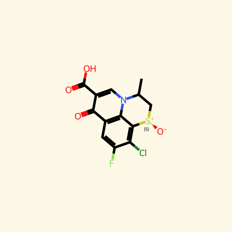 CC1C[S@@+]([O-])c2c(Cl)c(F)cc3c(=O)c(C(=O)O)cn1c23